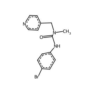 CN(Cc1ccncc1)C(=O)Nc1ccc(Br)cc1